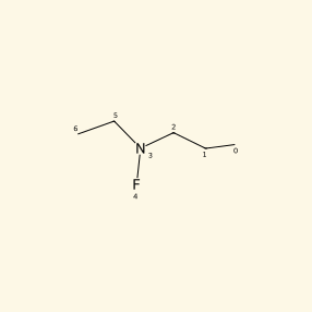 CCCN(F)CC